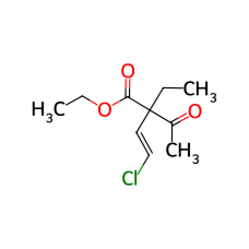 CCOC(=O)C(C=CCl)(CC)C(C)=O